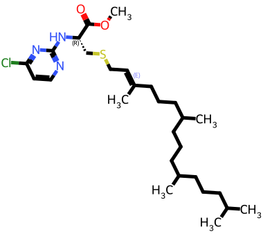 COC(=O)[C@H](CSC/C=C(\C)CCCC(C)CCCC(C)CCCC(C)C)Nc1nccc(Cl)n1